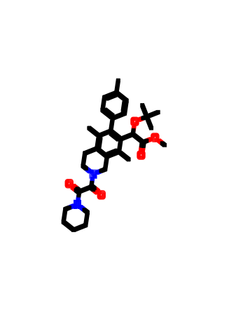 COC(=O)C(OC(C)(C)C)c1c(C)c2c(c(C)c1-c1ccc(C)cc1)CCN(C(=O)C(=O)N1CCCCC1)C2